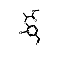 CNC(=O)C(C)Oc1ccc(C=O)cc1Cl